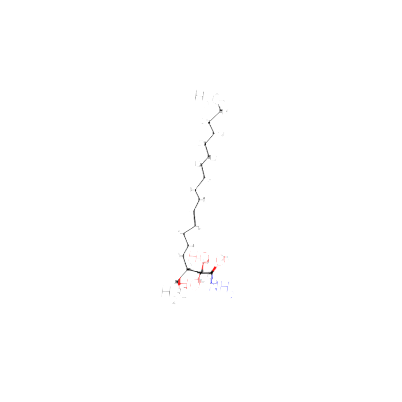 C=CC(CCCCCCCCCCCCCCC)C(O)(O)C(N)=O